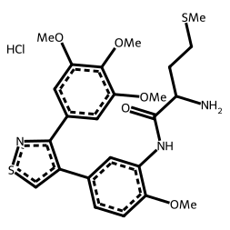 COc1ccc(-c2csnc2-c2cc(OC)c(OC)c(OC)c2)cc1NC(=O)C(N)CCSC.Cl